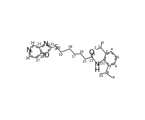 CC(C)c1cccc(C(C)C)c1NC(=O)CCCCCSc1nc2cnccc2o1